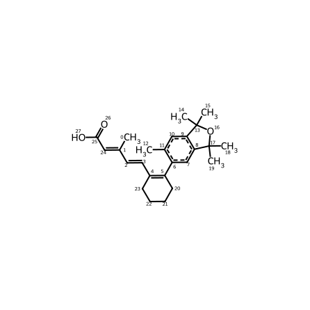 CC(/C=C/C1=C(c2cc3c(cc2C)C(C)(C)OC3(C)C)CCCC1)=C\C(=O)O